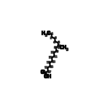 CCCCCC[C@H](C)CCCCCCCCCCC(=O)O